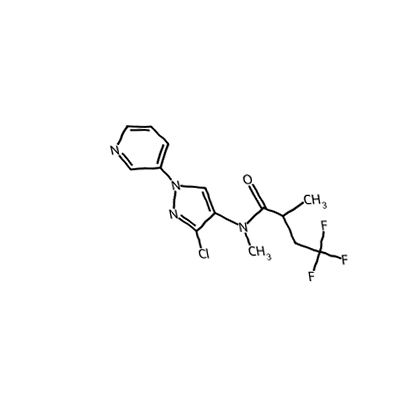 CC(CC(F)(F)F)C(=O)N(C)c1cn(-c2cccnc2)nc1Cl